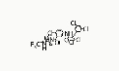 O=C(NC1(C(=O)NCC(F)(F)F)CC1)c1cc(NC(=O)C2C(c3cc(Cl)cc(Cl)c3)C2(Cl)Cl)ccc1Cl